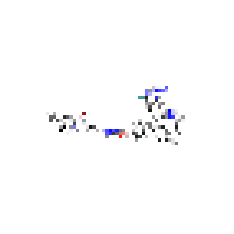 CCC(=C(c1ccc(OCCNCC=CC(=O)N(C)C)cc1)c1ccc2[nH]nc(F)c2c1)c1cccnc1